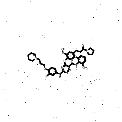 COc1cc(CCC(=O)N2CCCC2)ccc1Oc1nc(Nc2ccc(OCCCN3CCCCC3)c(F)c2)ncc1C(=O)Nc1c(C)cccc1C